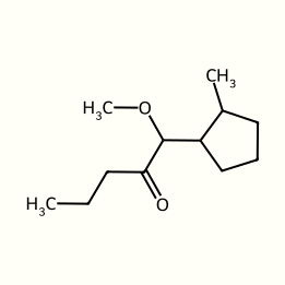 CCCC(=O)C(OC)C1CCCC1C